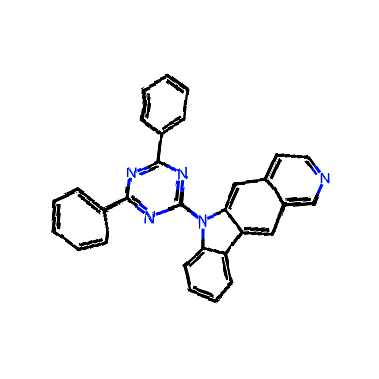 c1ccc(-c2nc(-c3ccccc3)nc(-n3c4ccccc4c4cc5cnccc5cc43)n2)cc1